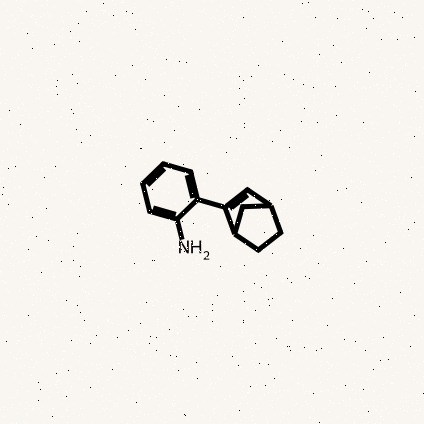 Nc1ccccc1C1=CC2CCC1C2